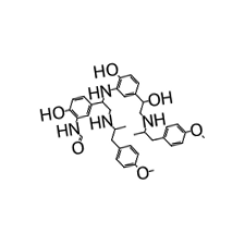 COc1ccc(CC(C)NCC(O)c2ccc(O)c(NC(CNC(C)Cc3ccc(OC)cc3)c3ccc(O)c(NC=O)c3)c2)cc1